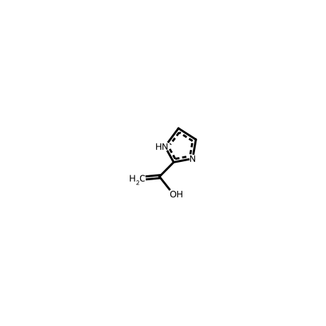 C=C(O)c1ncc[nH]1